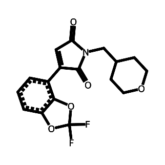 O=C1C=C(c2cccc3c2OC(F)(F)O3)C(=O)N1CC1CCOCC1